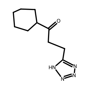 O=C(CCc1nnn[nH]1)C1CCCCC1